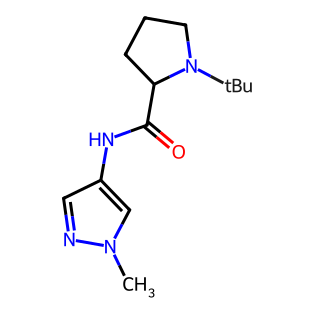 Cn1cc(NC(=O)C2CCCN2C(C)(C)C)cn1